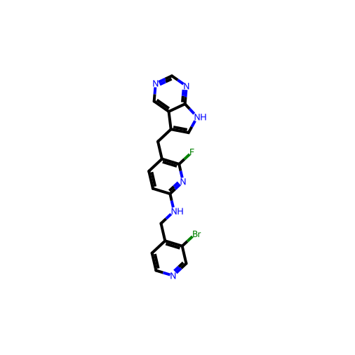 Fc1nc(NCc2ccncc2Br)ccc1Cc1c[nH]c2ncncc12